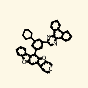 c1ccc2c(c1)oc1c(-c3cc(-c4cnc5c6ccccc6c6ccccc6c5n4)cc(C4CCCCC4)c3)c3c(cc12)oc1ccccc13